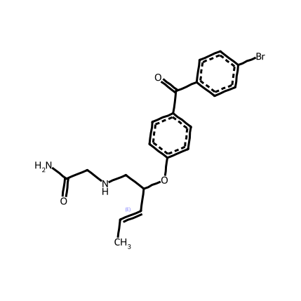 C/C=C/C(CNCC(N)=O)Oc1ccc(C(=O)c2ccc(Br)cc2)cc1